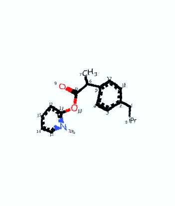 CC(C)Cc1ccc(C(C)C(=O)Oc2ccccn2)cc1